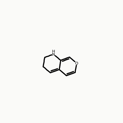 C1=CC2=CCCNC2=CO1